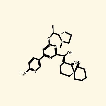 C[C@H](Oc1cc(-c2ccc(N)nc2)nc(/C(O)=C2\CCC[C@@]3(CCCCC3=O)C2=N)n1)[C@@H]1CCCN1C